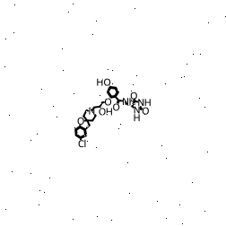 O=C1NC(=O)[C@@H](CNC(=O)c2ccc(O)cc2OC[C@@H](O)CN2CCC3(CC2)Cc2cc(Cl)ccc2O3)N1